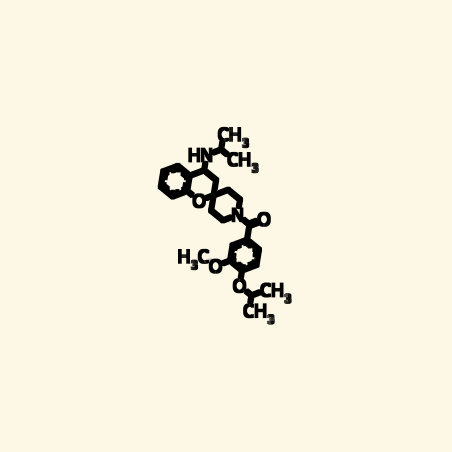 COc1cc(C(=O)N2CCC3(CC2)CC(NC(C)C)c2ccccc2O3)ccc1OC(C)C